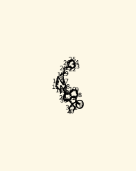 CCC1(CC)C(=O)c2cccc3c(N4CCCN(CCCc5ccccc5)CC4)ccc1c23